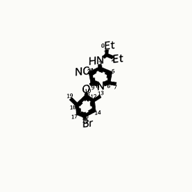 CCC(CC)Nc1cc(C)nc(Oc2c(C)cc(Br)cc2C)c1C#N